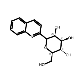 OC[C@H]1OC(c2ccc3ccccc3n2)[C@@H](O)[C@@H](O)[C@@H]1O